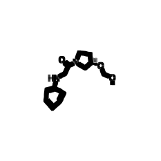 COCO[C@H]1CCN(C(=O)CNc2ccccc2)C1